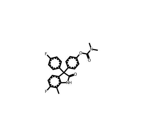 Cc1c(F)ccc2c1NC(=O)C2(c1ccc(F)cc1)c1ccc(OC(=O)N(C)C)cc1